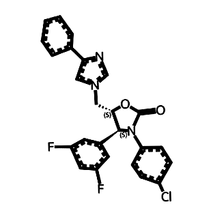 O=C1O[C@@H](Cn2cnc(-c3ccccc3)c2)[C@H](c2cc(F)cc(F)c2)N1c1ccc(Cl)cc1